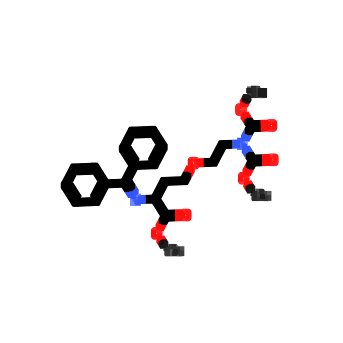 CC(C)(C)OC(=O)C(CCOCCN(C(=O)OC(C)(C)C)C(=O)OC(C)(C)C)N=C(c1ccccc1)c1ccccc1